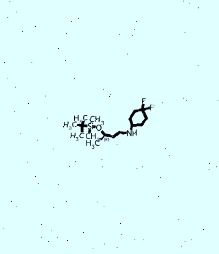 C[C@H](CCNC1CCC(F)(F)CC1)O[Si](C)(C)C(C)(C)C